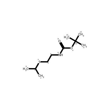 CC(C)SCCNC(=O)OC(C)(C)C